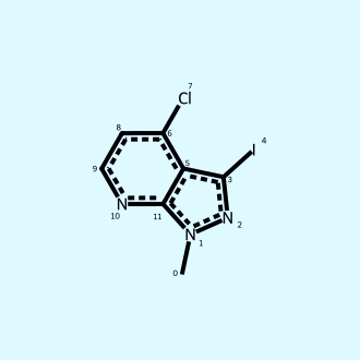 Cn1nc(I)c2c(Cl)ccnc21